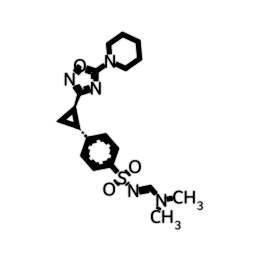 CN(C)/C=N/S(=O)(=O)c1ccc([C@@H]2C[C@H]2c2noc(N3CCCCC3)n2)cc1